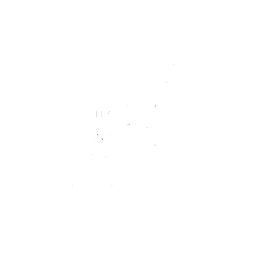 CC(=O)OCCC1(C)OC=Cc2c1[nH]c1ccccc21